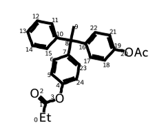 CCC(=O)Oc1ccc(C(C)(c2ccccc2)c2ccc(OC(C)=O)cc2)cc1